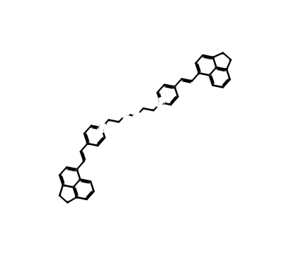 C(=C\c1ccc2c3c(cccc13)CC2)/c1cc[n+](CCSSCC[n+]2ccc(/C=C/c3ccc4c5c(cccc35)CC4)cc2)cc1